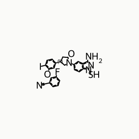 N#Cc1cccc(F)c1Oc1cc([C@H]2CC(=O)N(c3ccc4c(c3)c(N)nn4S)C2)ccc1I